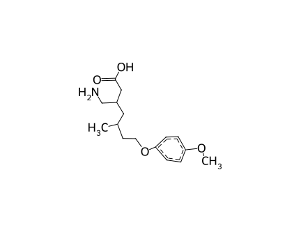 COc1ccc(OCCC(C)CC(CN)CC(=O)O)cc1